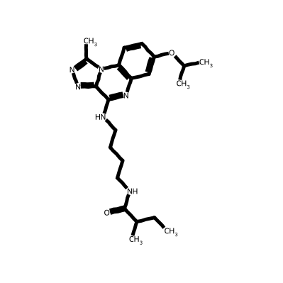 CCC(C)C(=O)NCCCCNc1nc2cc(OC(C)C)ccc2n2c(C)nnc12